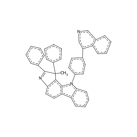 CC1(c2ccccc2)C(c2ccccc2)=Nc2ccc3c4ccccc4n(-c4ccc(-c5cncc6ccccc56)cc4)c3c21